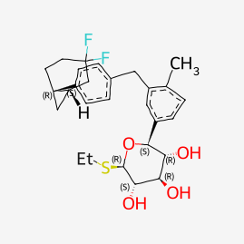 CCS[C@H]1O[C@@H](c2ccc(C)c(Cc3ccc([C@@]45CCC(F)(F)C[C@@H]4C5)cc3)c2)[C@H](O)[C@@H](O)[C@@H]1O